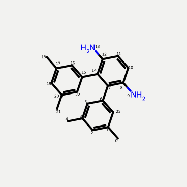 Cc1cc(C)cc(-c2c(N)ccc(N)c2-c2cc(C)cc(C)c2)c1